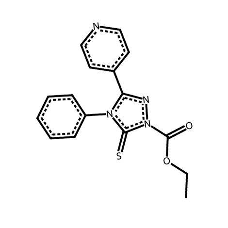 CCOC(=O)n1nc(-c2ccncc2)n(-c2ccccc2)c1=S